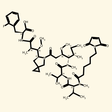 CC[C@H](C)[C@@H]([C@@H](CC(=O)N1CC2(CC2)C[C@H]1[C@H](OC)[C@@H](C)C(=O)N[C@@H](Cc1ccccc1F)C(=O)O)OC)N(C)C(=O)[C@@H](NC(=O)[C@H](C(C)C)N(C)C(=O)CCCCCN1C(=O)C=CC1=O)C(C)C